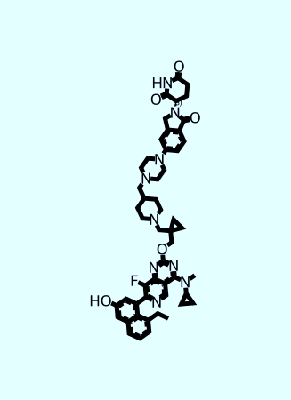 CCc1cccc2cc(O)cc(-c3ncc4c(N(C)C5CC5)nc(OCC5(CN6CCC(CN7CCN(c8ccc9c(c8)CN([C@H]8CCC(=O)NC8=O)C9=O)CC7)CC6)CC5)nc4c3F)c12